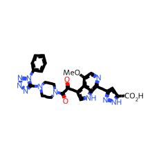 COc1cnc(-c2cc(C(=O)O)[nH]n2)c2[nH]cc(C(=O)C(=O)N3CCN(c4nnnn4-c4ccccc4)CC3)c12